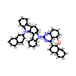 c1ccc2cc(-n3c4ccccc4c4ccc5c(c6ccccc6n5-c5nc6c7c(cccc7n5)Oc5c-6ccc6ccccc56)c43)ccc2c1